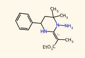 CCOC(=O)/C(C)=C1\NC(c2ccccc2)CC(C)(C)N1N